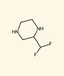 FC(F)C1CNCCN1